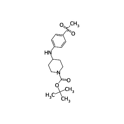 CC(C)(C)OC(=O)N1CCC(Nc2ccc(S(C)(=O)=O)cc2)CC1